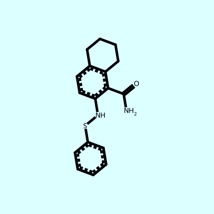 NC(=O)c1c(NSc2ccccc2)ccc2c1CCCC2